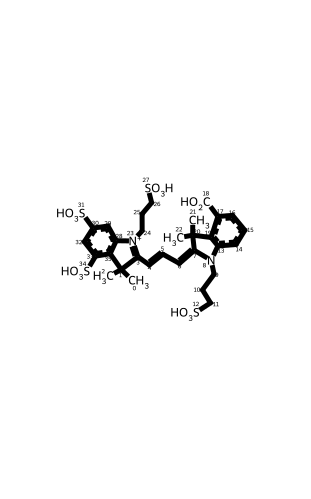 CC1(C)C(/C=C/C=C2/N(CCCS(=O)(=O)O)c3cccc(C(=O)O)c3C2(C)C)=[N+](CCCS(=O)(=O)O)c2cc(S(=O)(=O)O)cc(S(=O)(=O)O)c21